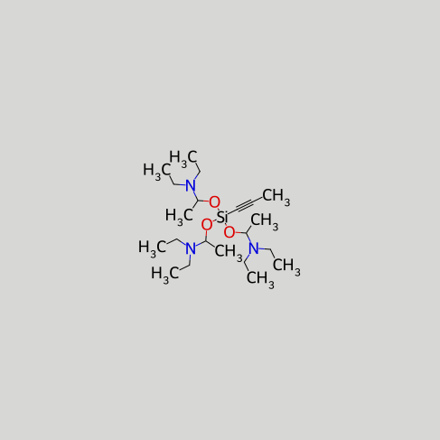 CC#C[Si](OC(C)N(CC)CC)(OC(C)N(CC)CC)OC(C)N(CC)CC